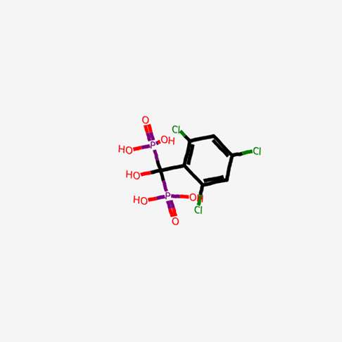 O=P(O)(O)C(O)(c1c(Cl)cc(Cl)cc1Cl)P(=O)(O)O